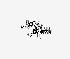 CCOc1cc2c(cc1OC)-c1c/c(=N\c3c(C)cc(C)cc3C)n(CCNC(=O)C3=C(O)NNN3)c(=O)n1CC2